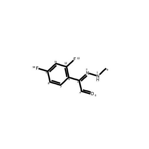 CNN=C(C=O)c1ccc(F)cc1F